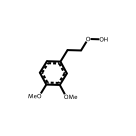 COc1ccc(CCOO)cc1OC